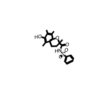 Cc1c(C)c2c(c(C)c1O)CCC(C)(C(=O)NS(=O)(=O)c1ccccc1)O2